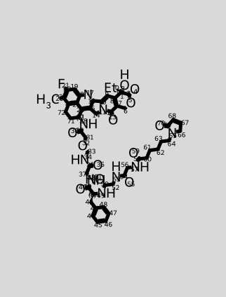 CC[C@@]1(O)C(=O)OCc2c1cc1n(c2=O)Cc2c-1nc1cc(F)c(C)c3c1c2[C@@H](NC(=O)COCNC(=O)CNC(=O)[C@H](Cc1ccccc1)NC(O)CNC(=O)CNC(=O)CCCCCN1CC=CC1=O)CC3